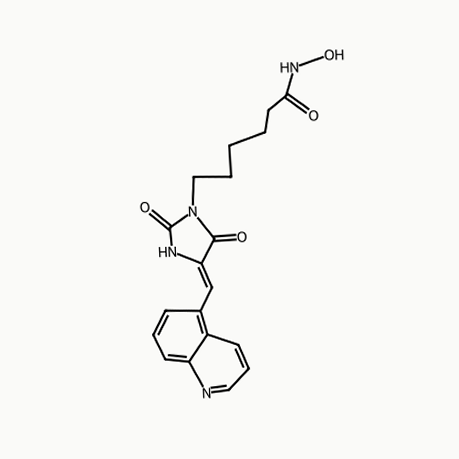 O=C(CCCCCN1C(=O)N/C(=C\c2cccc3ncccc23)C1=O)NO